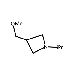 COCC1CN(C(C)C)C1